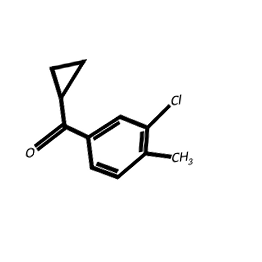 Cc1ccc(C(=O)C2CC2)cc1Cl